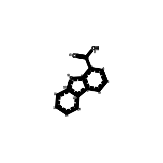 O=C(O)c1cccc2c1sc1ccccc12